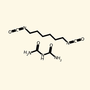 NC(=O)NC(N)=O.O=C=NCCCCCCN=C=O